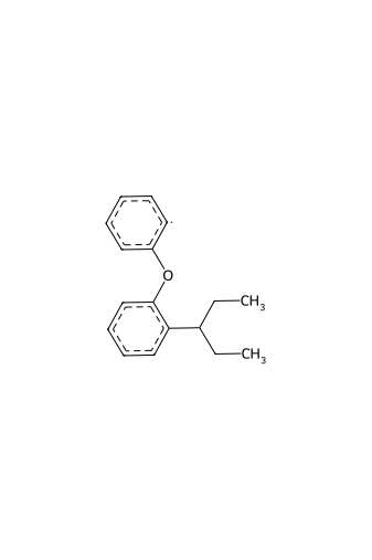 CCC(CC)c1ccccc1Oc1[c]cccc1